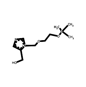 C[Si](C)(C)OCCOCn1cncc1CO